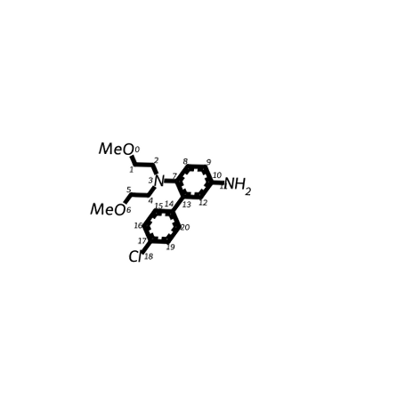 COCCN(CCOC)c1ccc(N)cc1-c1ccc(Cl)cc1